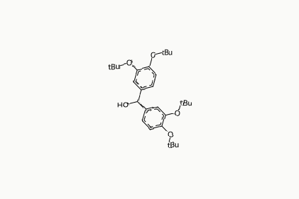 CC(C)(C)Oc1ccc(C(O)c2ccc(OC(C)(C)C)c(OC(C)(C)C)c2)cc1OC(C)(C)C